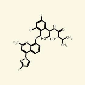 Cc1cc(-n2ccc(F)n2)c2cccc(OCc3c(Cl)cc(F)cc3[C@H](CO)NC(=O)[C@@H](O)C(C)C)c2n1